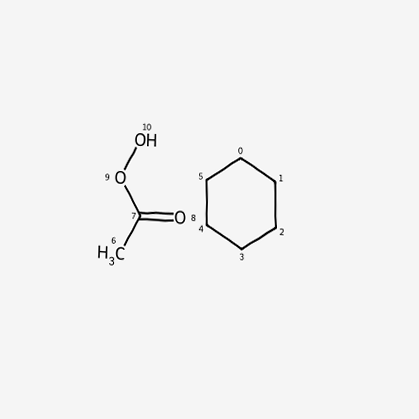 C1CCCCC1.CC(=O)OO